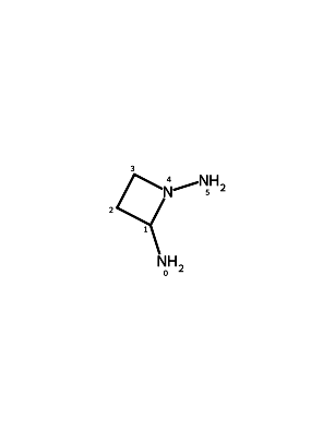 NC1CCN1N